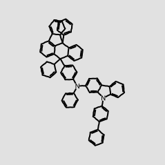 C1=CCC(C2(c3ccc(N(c4ccccc4)c4ccc5c6ccccc6n(-c6ccc(-c7ccccc7)cc6)c5c4)cc3)c3ccccc3C3(c4ccccc4)c4c(cccc42)C2=CC=CCC23)C=C1